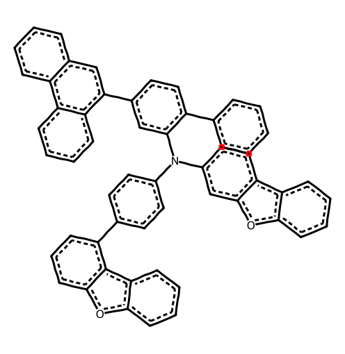 c1ccc(-c2ccc(-c3cc4ccccc4c4ccccc34)cc2N(c2ccc(-c3cccc4oc5ccccc5c34)cc2)c2ccc3c(c2)oc2ccccc23)cc1